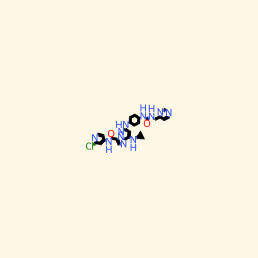 O=C(NCc1ccncn1)N[C@H]1CC[C@H](Nc2cc(NC3CC3)c3ncc(C(=O)Nc4ccnc(Cl)c4)n3n2)CC1